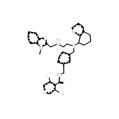 Cn1c(CNCCN(Cc2cccc(CNC(=O)c3c(Cl)cncc3Cl)c2)C2CCCc3cccnc32)nc2ccccc21